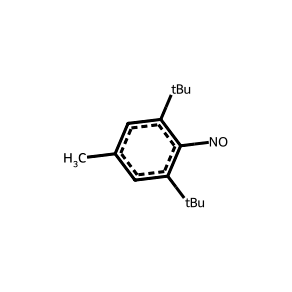 Cc1cc(C(C)(C)C)c(N=O)c(C(C)(C)C)c1